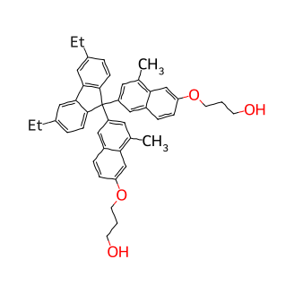 CCc1ccc2c(c1)-c1cc(CC)ccc1C2(c1cc(C)c2cc(OCCCO)ccc2c1)c1cc(C)c2cc(OCCCO)ccc2c1